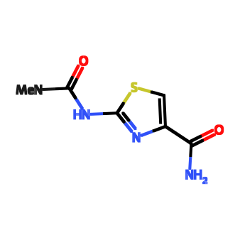 CNC(=O)Nc1nc(C(N)=O)cs1